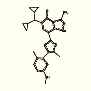 CNc1ccc(C)c(-c2cc(-c3cn(C(C4CC4)C4CC4)c(=O)c4c(N)n[nH]c34)nn2C)c1